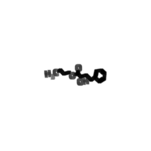 CCCCOC(=O)[C@H](O)CCc1ccccc1